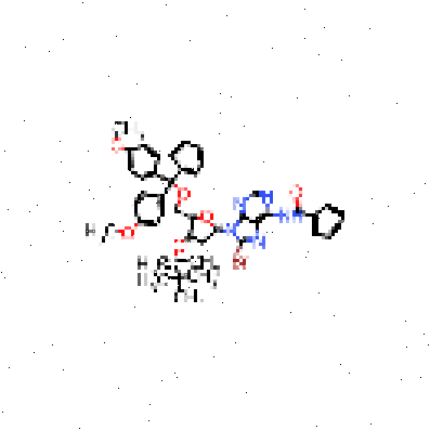 COc1ccc(C(OC[C@H]2O[C@@H](n3c(Br)nc4c(NC(=O)c5ccccc5)ncnc43)C[C@@H]2O[Si](C)(C)C(C)(C)C)(c2ccccc2)c2ccc(OC)cc2)cc1